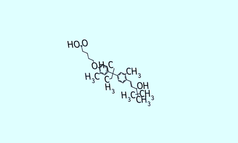 CCC(CC)(c1ccc(C=CC(O)C(C)(C)C)c(C)c1)c1ccc(OCCCCC(=O)O)c(C)c1